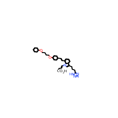 O=C(O)CC=Cn1cc(CCCc2nnn[nH]2)c2cccc(C=Cc3ccc(OCCCCOc4ccccc4)cc3)c21